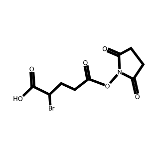 O=C(CCC(Br)C(=O)O)ON1C(=O)CCC1=O